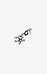 CCc1[nH]c2nc(Cc3cccc(CC(=O)OC)c3)nc(Cl)c2c1Br